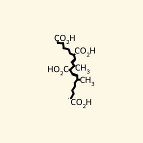 CC(C=CC(C(=O)O)C(C)C=CC(CCCCCC(=O)O)C(=O)O)CCCC[CH]C(=O)O